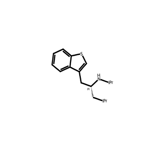 CC(C)C[C@H](Cc1csc2ccccc12)NC(C)C